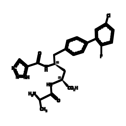 CC(N)C(=O)N[C@H](C[C@@H](Cc1ccc(-c2cc(Cl)ccc2F)cc1)NC(=O)c1cnn[nH]1)C(=O)O